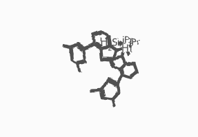 Cc1cc(C)cc(-c2cccc3c2C=C[CH]3[Hf]([CH3])([CH3])(=[SiH2])([CH](C)C)([CH](C)C)[CH]2C=Cc3c(-c4cc(C)cc(C)c4)cccc32)c1